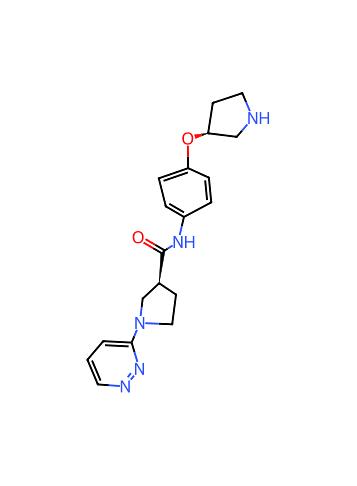 O=C(Nc1ccc(O[C@H]2CCNC2)cc1)[C@H]1CCN(c2cccnn2)C1